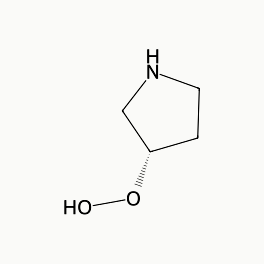 OO[C@H]1CCNC1